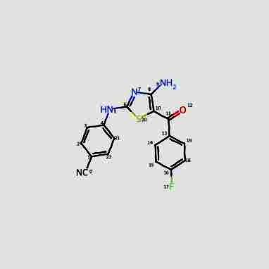 N#Cc1ccc(Nc2nc(N)c(C(=O)c3ccc(F)cc3)s2)cc1